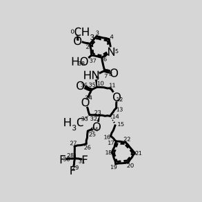 COc1ccnc(C(=O)N[C@H]2COC[C@H](CCc3ccccc3)[C@@H](OCCCC(F)(F)F)[C@H](C)OC2=O)c1O